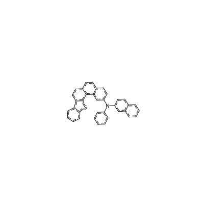 c1ccc(N(c2ccc3ccccc3c2)c2ccc3ccc4ccc5c6ccccc6sc5c4c3c2)cc1